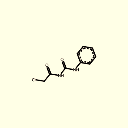 O=C(CCl)NC(=O)Nc1ccccc1